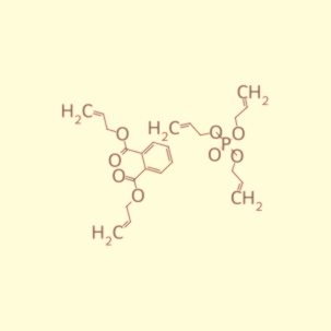 C=CCOC(=O)c1ccccc1C(=O)OCC=C.C=CCOP(=O)(OCC=C)OCC=C